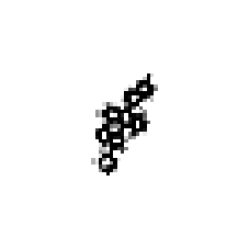 Cc1ccc2cc(-c3c4ccccc4c(-c4ccc(-c5ccncc5)c5ccccc45)c4ccccc34)ccc2c1